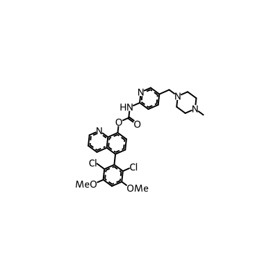 COc1cc(OC)c(Cl)c(-c2ccc(OC(=O)Nc3ccc(CN4CCN(C)CC4)cn3)c3ncccc23)c1Cl